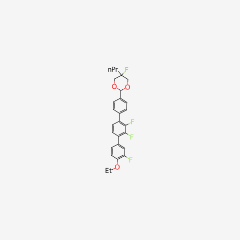 CCCC1(F)COC(c2ccc(-c3ccc(-c4ccc(OCC)c(F)c4)c(F)c3F)cc2)OC1